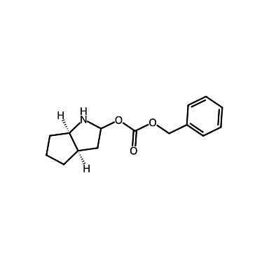 O=C(OCc1ccccc1)OC1C[C@H]2CCC[C@H]2N1